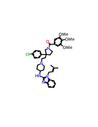 COc1cc(C(=O)N2CCC(CCN3CCC(Nc4nc5ccccc5n4CC=C(C)C)CC3)(c3ccc(Cl)cc3)C2)cc(OC)c1OC